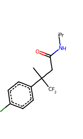 CC(C)NC(=O)CC(C)(c1ccc(Cl)cc1)C(F)(F)F